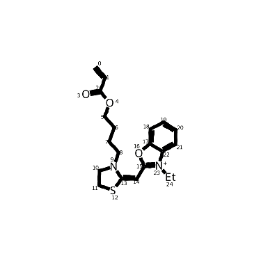 C=CC(=O)OCCCCN1CCSC1=Cc1oc2ccccc2[n+]1CC